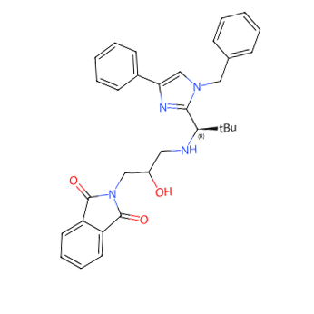 CC(C)(C)[C@@H](NCC(O)CN1C(=O)c2ccccc2C1=O)c1nc(-c2ccccc2)cn1Cc1ccccc1